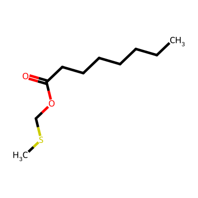 CCCCCCCC(=O)OCSC